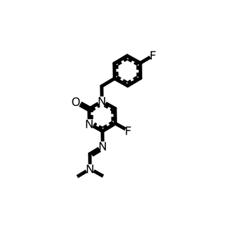 CN(C)/C=N/c1nc(=O)n(Cc2ccc(F)cc2)cc1F